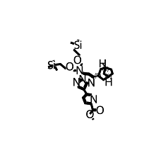 COC(=O)c1ccc(-c2cnn3c(N(COCC[Si](C)(C)C)COCC[Si](C)(C)C)cc([C@H]4C[C@@H]5CC[C@@H](C5)C4)nc23)cn1